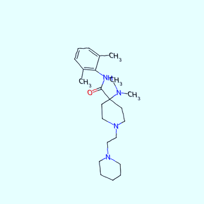 Cc1cccc(C)c1NC(=O)C1(N(C)C)CCN(CCN2CCCCC2)CC1